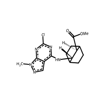 COC(=O)[C@H]1C2CCC(CC2)[C@@H]1Nc1nc(Cl)nc2c1cnn2C